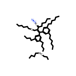 CCCCCCCCC(C(=C=[N+]=[N-])CCCCC)=C(c1cc(CCCC)cc(CCCC)c1)c1cc(CCCCCC)cc(CCCCCC)c1.CCC[CH2][Ni][CH2]CCC